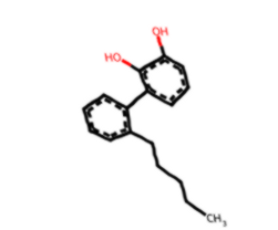 CCCCCc1ccccc1-c1cccc(O)c1O